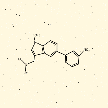 CCCCCCCCn1cc(CN(CC)CC)c2cc(-c3cccc([N+](=O)[O-])c3)ccc21